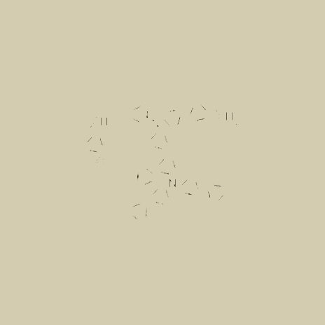 C=Cc1ccc(OCCCCCCC2(c3ccccc3)c3ccccc3-c3ccc(N(c4ccc(-c5ccccc5)cc4)c4ccc(-c5ccc6c(c5)c5cc(-c7ccc(C=C)cc7)ccc5n6-c5ccccc5)cc4)cc32)cc1